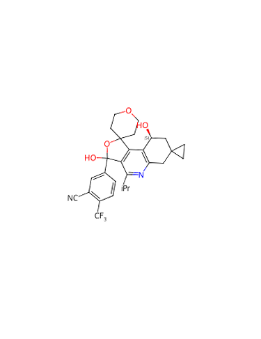 CC(C)c1nc2c(c3c1C(O)(c1ccc(C(F)(F)F)c(C#N)c1)OC31CCOCC1)[C@@H](O)CC1(CC1)C2